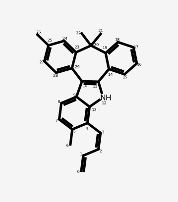 C=C/C=C\c1c(C)ccc2c3c([nH]c12)-c1ccccc1C(C)(C)c1cc(C)ccc1-3